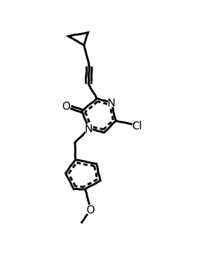 COc1ccc(Cn2cc(Cl)nc(C#CC3CC3)c2=O)cc1